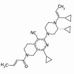 CC=C(C1CC1)N1CCN(c2nc(C3CC3)c3c(c2C#N)CCN(C(=O)/C=C/C)C3)C[C@H]1C1CC1